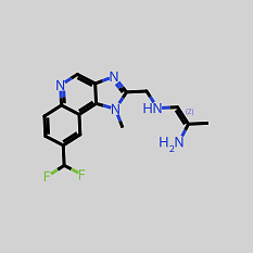 C/C(N)=C/NCc1nc2cnc3ccc(C(F)F)cc3c2n1C